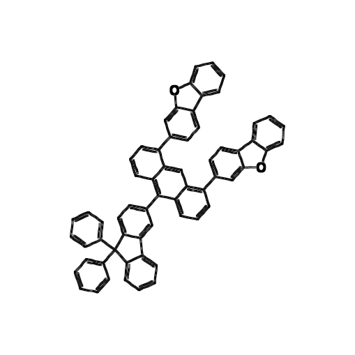 c1ccc(C2(c3ccccc3)c3ccccc3-c3cc(-c4c5cccc(-c6ccc7c(c6)oc6ccccc67)c5cc5c(-c6ccc7c(c6)oc6ccccc67)cccc45)ccc32)cc1